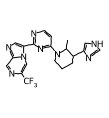 CC1C(c2c[nH]cn2)CCCN1c1ccnc(-c2cnc3cnc(C(F)(F)F)cn23)n1